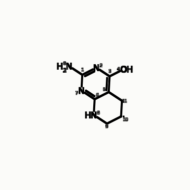 Nc1nc(O)c2c(n1)NC[CH]C2